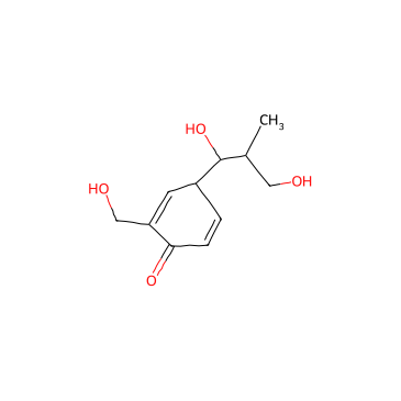 CC(CO)C(O)C1C=CC(=O)C(CO)=C1